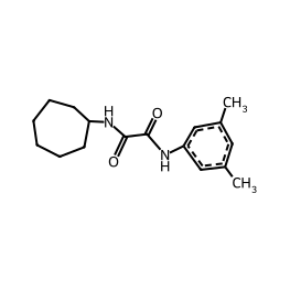 Cc1cc(C)cc(NC(=O)C(=O)NC2CCCCCC2)c1